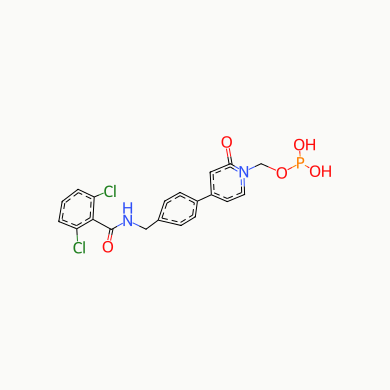 O=C(NCc1ccc(-c2ccn(COP(O)O)c(=O)c2)cc1)c1c(Cl)cccc1Cl